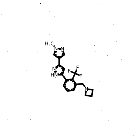 Cn1cc(-c2cc(-c3cccc(CN4CCC4)c3C(F)(F)F)[nH]n2)cn1